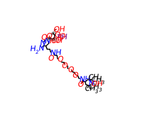 CC1(C)CC(C(=O)NCCOCCOCCOCCOCCC(=O)NCCCC2CN([C@@H]3O[C@H](CO)C(O[PH](=O)O)[C@@H]3O)C(=O)N=C2N)CC(C)(C)N1O